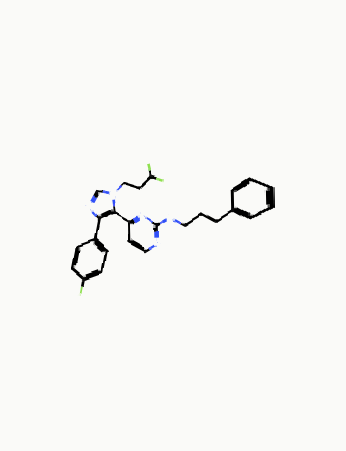 Fc1ccc(-c2ncn(CCC(F)F)c2-c2ccnc(NCCCc3ccccc3)n2)cc1